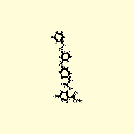 COC(=O)c1ccc(F)cc1NC(=O)Cc1ccc(Oc2cccc(OCc3ccccc3)c2)cc1